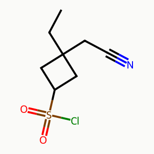 CCC1(CC#N)CC(S(=O)(=O)Cl)C1